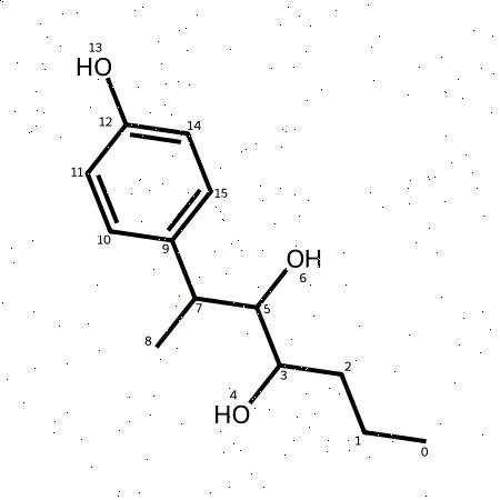 CCCC(O)C(O)C(C)c1ccc(O)cc1